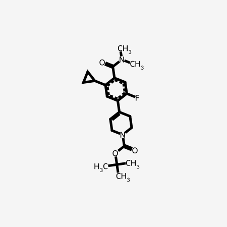 CN(C)C(=O)c1cc(F)c(C2=CCN(C(=O)OC(C)(C)C)CC2)cc1C1CC1